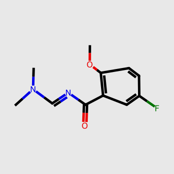 COc1ccc(F)cc1C(=O)/N=C/N(C)C